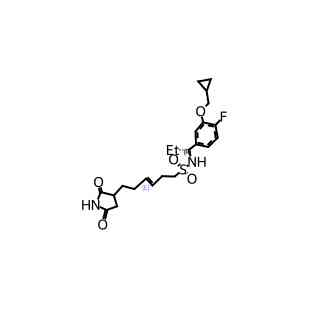 CC[C@@H](NS(=O)(=O)CC/C=C/CCC1CC(=O)NC1=O)c1ccc(F)c(OCC2CC2)c1